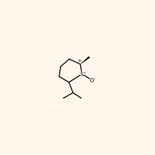 CC(C)C1CCC[C@@H](C)[S+]1[O-]